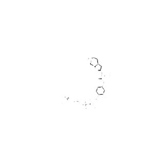 CC(C)(CCCO[N+](=O)[O-])C(=O)OCc1ccc(CC(=O)Nc2cc3ccncc3s2)cc1